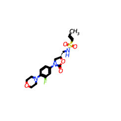 C/C=C/S(=O)(=O)NC[C@H]1CN(c2ccc(N3CCOCC3)c(F)c2)C(=O)O1